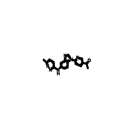 CC(=O)c1ccc(-n2cnc3cc(Nc4ccc(C)nn4)ccc32)nc1